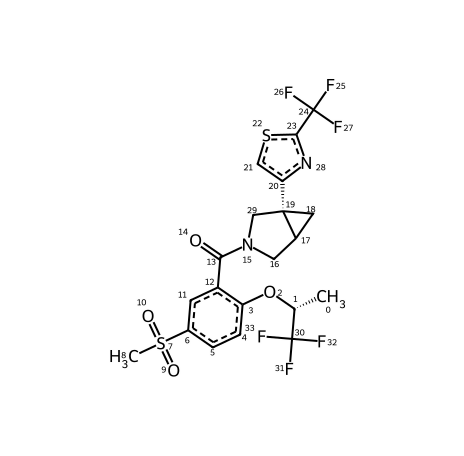 C[C@@H](Oc1ccc(S(C)(=O)=O)cc1C(=O)N1CC2C[C@]2(c2csc(C(F)(F)F)n2)C1)C(F)(F)F